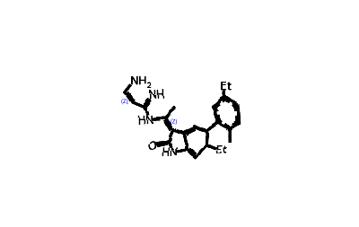 CCc1ccc(C)c(C2C=C3C(=CC2CC)NC(=O)/C3=C(/C)NC(=N)/C=C\N)c1